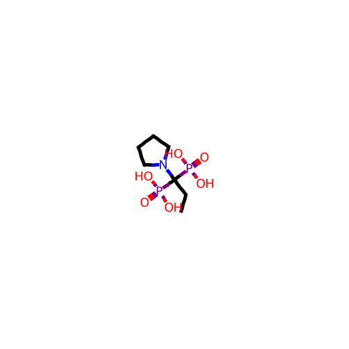 CCC(N1CCCC1)(P(=O)(O)O)P(=O)(O)O